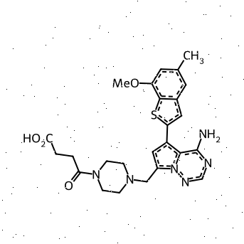 COc1cc(C)cc2cc(-c3cc(CN4CCN(C(=O)CCC(=O)O)CC4)n4ncnc(N)c34)sc12